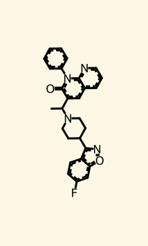 CC(c1cc2cccnc2n(-c2ccccc2)c1=O)N1CCC(c2noc3cc(F)ccc23)CC1